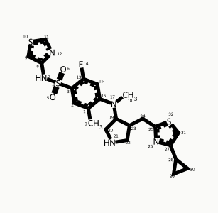 Cc1cc(S(=O)(=O)Nc2cscn2)c(F)cc1N(C)C1CNCC1Cc1nc(C2CC2)cs1